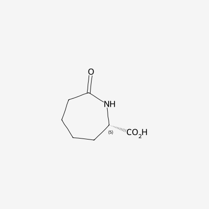 O=C1CCCC[C@@H](C(=O)O)N1